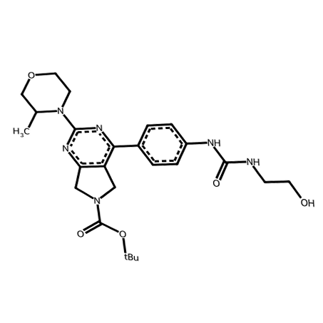 CC1COCCN1c1nc2c(c(-c3ccc(NC(=O)NCCO)cc3)n1)CN(C(=O)OC(C)(C)C)C2